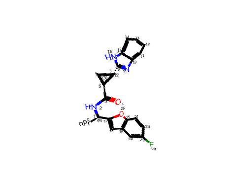 CCC[C@@H](NC(=O)[C@H]1C[C@@H]1c1nc2ccccc2[nH]1)c1cc2cc(F)ccc2o1